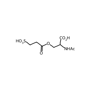 CC(=O)NC(COC(=O)CCS(=O)(=O)O)C(=O)O